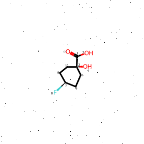 O=C(O)[C@]1(O)CC[C@@H](F)CC1